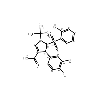 CC(C)(C)[C@@H]1C=C(C(=O)O)[C@H](c2ccc(Cl)c(Cl)c2)N1S(=O)(=O)c1ccccc1Br